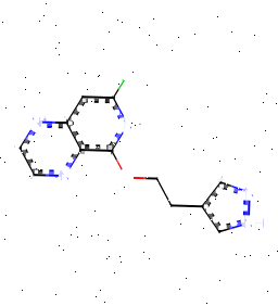 Clc1cc2nccnc2c(OCCc2cn[nH]c2)n1